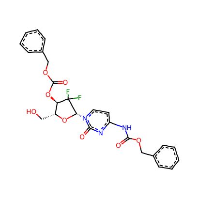 O=C(Nc1ccn([C@@H]2O[C@H](CO)[C@@H](OC(=O)OCc3ccccc3)C2(F)F)c(=O)n1)OCc1ccccc1